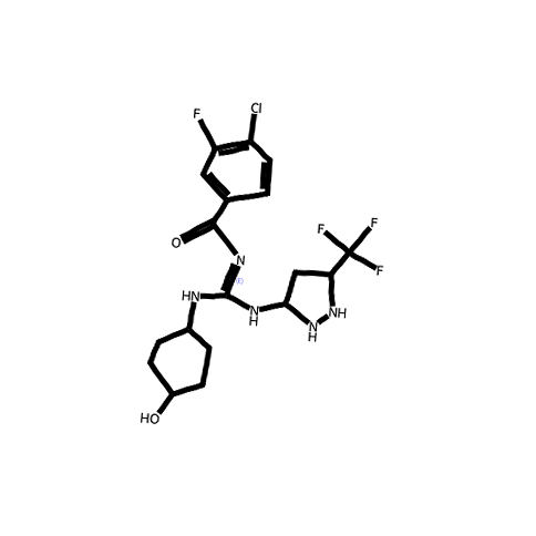 O=C(/N=C(\NC1CCC(O)CC1)NC1CC(C(F)(F)F)NN1)c1ccc(Cl)c(F)c1